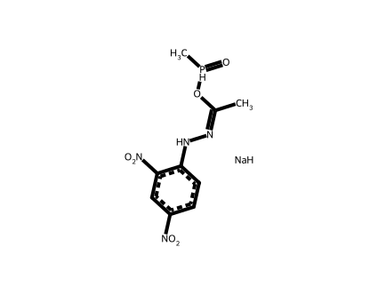 CC(=NNc1ccc([N+](=O)[O-])cc1[N+](=O)[O-])O[PH](C)=O.[NaH]